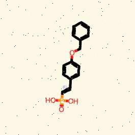 O=P(O)(O)/C=C/c1ccc(OCc2ccccc2)cc1